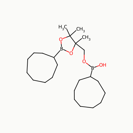 CC1(C)OB(C2CCCCCCCC2)OC1(C)COB(O)C1CCCCCCCC1